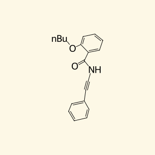 CCCCOc1ccccc1C(=O)NC#Cc1ccccc1